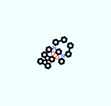 c1ccc(-c2cccc(N(c3ccccc3)c3ccc(N(c4ccccc4)c4cccc(-c5ccccc5)c4)c4c3Oc3ccc5c(c3O4)-c3ccccc3C53c4ccccc4-c4ccccc43)c2)cc1